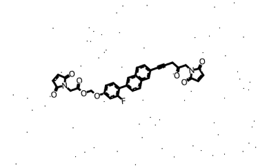 O=C(CC#Cc1ccc2cc(-c3ccc(OCOC(=O)CN4C(=O)C=CC4=O)cc3F)ccc2c1)CN1C(=O)C=CC1=O